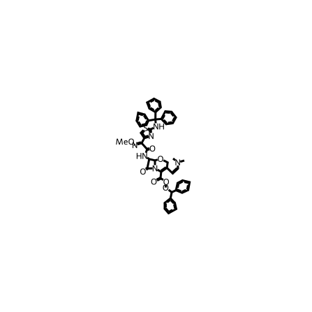 CON=C(C(=O)NC1C(=O)N2C(C(=O)OOC(c3ccccc3)c3ccccc3)=C(C=CN(C)C)COC12)c1csc(NC(c2ccccc2)(c2ccccc2)c2ccccc2)n1